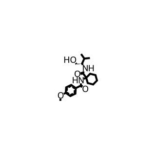 COc1ccc(C(=O)NC2(C(=O)N[C@H](CO)C(C)C)CCCCC2)cc1